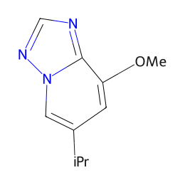 COc1cc(C(C)C)cn2ncnc12